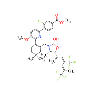 C=C(/C=C(\C=C(/C)C(F)(F)F)C(F)(F)F)[C@H]1OC(O)N(CC2=C(c3nc(-c4ccc(C(=O)OC)cc4F)ccc3OC)CCC(C)(C)C2)[C@H]1C